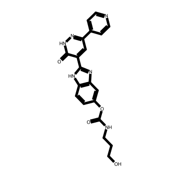 O=C(NCCCO)Oc1ccc2[nH]c(-c3cc(-c4ccncc4)n[nH]c3=O)nc2c1